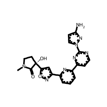 CN1CC[C@@](O)(c2cc(-c3cccc(-c4ccnc(-n5ccc(N)n5)n4)n3)no2)C1=O